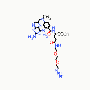 CN(Cc1cnc2nc(N)nc(N)c2n1)c1ccc(C(=O)N[C@@H](CCC(=O)NCCOCCOCCN=[N+]=[N-])C(=O)O)cc1